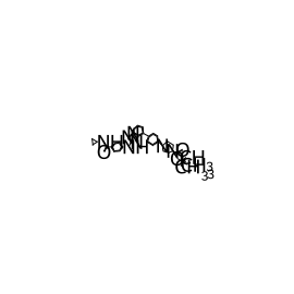 CC(C)(C)OC(=O)N1CCN(c2ccc(-c3cccn4nc(Nc5ccc(C(=O)NC6CC6)cc5)nc34)cc2)CC1